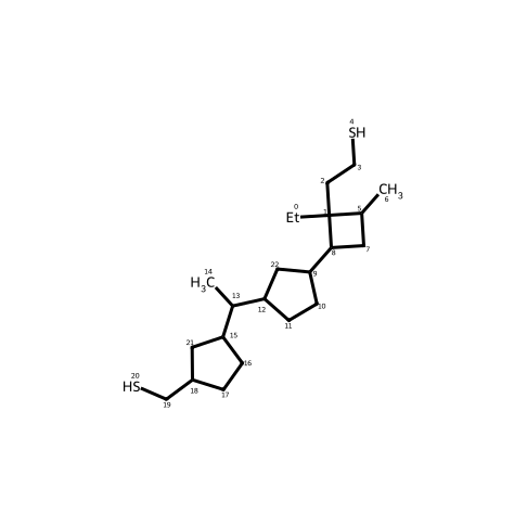 CCC1(CCS)C(C)CC1C1CCC(C(C)C2CCC(CS)C2)C1